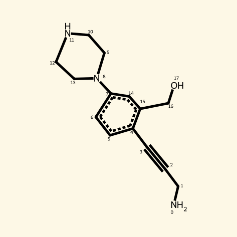 NCC#Cc1ccc(N2CCNCC2)cc1CO